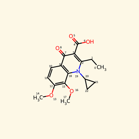 CCc1c(C(=O)O)c(=O)c2ccc(OC)c(OC)c2n1C1CC1